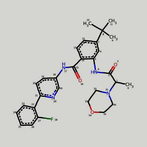 CC(C(=O)Nc1cc(C(C)(C)C)ccc1C(=O)Nc1ccc(-c2ccccc2F)nc1)N1CCOCC1